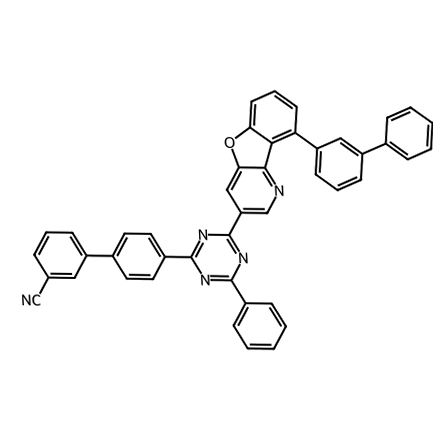 N#Cc1cccc(-c2ccc(-c3nc(-c4ccccc4)nc(-c4cnc5c(c4)oc4cccc(-c6cccc(-c7ccccc7)c6)c45)n3)cc2)c1